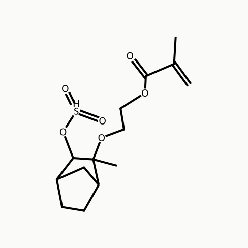 C=C(C)C(=O)OCCOC1(C)C2CCC(C2)C1O[SH](=O)=O